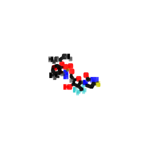 CC(C)OC(=O)[C@H](C)NP(=O)(OC[C@H]1O[C@@H](n2ccc(=S)[nH]c2=O)[C@@](F)(C(F)(F)F)C1O)Oc1ccccc1